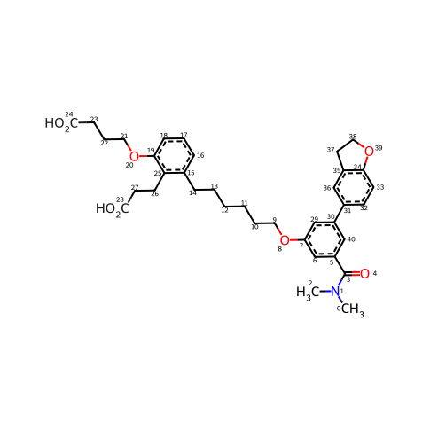 CN(C)C(=O)c1cc(OCCCCCCc2cccc(OCCCC(=O)O)c2CCC(=O)O)cc(-c2ccc3c(c2)CCO3)c1